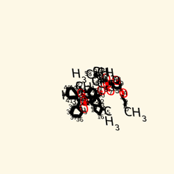 CCCCOC1C2OC3(OCC45CC6C(C)CCC6C6(C=O)CC4C=C(C(C)C)C65C(=O)OC(c4ccccc4)c4ccccc4)OC2OC1C3O[Si](C)(C)C(C)(C)C